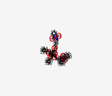 O=C1c2ccccc2C(=O)N1CCCCCOC[C@@H]1C[C@H](OCc2ccccc2)[C@@H](OCc2ccccc2)[C@H](OCCc2cn(S(=O)(=O)c3ccccc3)c3ccccc23)O1